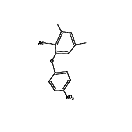 CC(=O)c1c(C)cc(C)cc1Oc1ccc([N+](=O)[O-])cc1